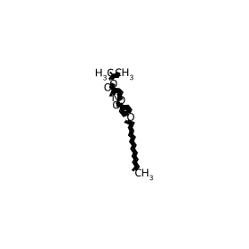 CCCCCCCCCCCCCCCCOc1ccc(C(=O)Oc2ccc(C(=O)OC[C@@H](C)CC)cn2)cc1